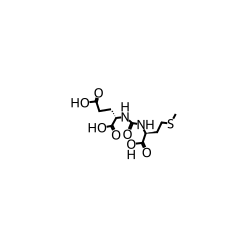 CSCC[C@H](NC(=O)N[C@@H](CCC(=O)O)C(=O)O)C(=O)O